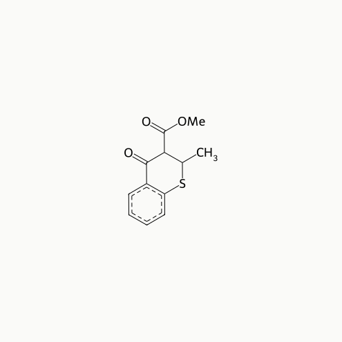 COC(=O)C1C(=O)c2ccccc2SC1C